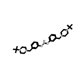 CC(C)(C)N1CCN(Cc2cccc(OBOc3cccc(CN4CCN(C(C)(C)C)CC4)c3)c2)CC1